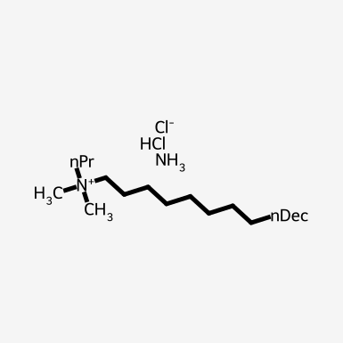 CCCCCCCCCCCCCCCCCC[N+](C)(C)CCC.Cl.N.[Cl-]